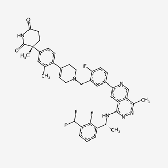 Cc1cc([C@@]2(C)CCC(=O)NC2=O)ccc1C1=CCN(Cc2cc(-c3cc4c(N[C@H](C)c5cccc(C(F)F)c5F)nnc(C)c4cn3)ccc2F)CC1